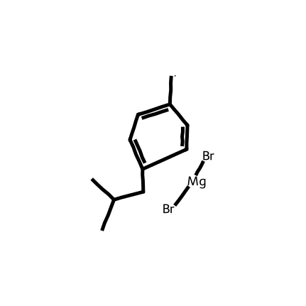 [Br][Mg][Br].[CH2]c1ccc(CC(C)C)cc1